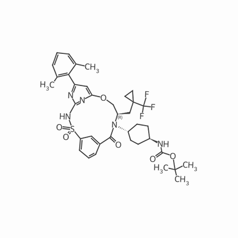 Cc1cccc(C)c1-c1cc2nc(n1)NS(=O)(=O)c1cccc(c1)C(=O)N([C@H]1CC[C@H](NC(=O)OC(C)(C)C)CC1)[C@H](CC1(C(F)(F)F)CC1)CO2